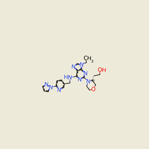 CCn1cnc2c(NCc3ccc(-n4cccn4)nc3)nc(N3CCOC[C@H]3CCO)nc21